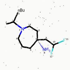 CCCCC(C)N1CCC[C@](N)(CC(F)F)CC1